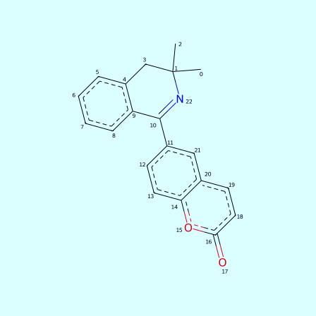 CC1(C)Cc2ccccc2C(c2ccc3oc(=O)ccc3c2)=N1